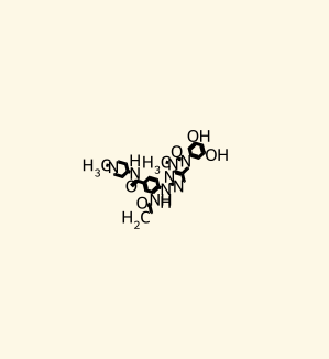 C=CC(=O)Nc1cc(C(=O)NC2CCN(C)CC2)ccc1Nc1ncc2c(n1)N(C)C(=O)N(c1cc(O)cc(O)c1)C2